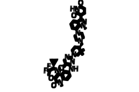 Cn1nc(C2CCC(=O)NC2=O)c2cccc(N3CCN(C[C@@H]4CCN(c5ncc(Cl)c(Nc6ccc7c(c6)c6c(c(=O)n7C)OCC(F)(F)[C@H](C7CC7)N6)n5)CC4(C)C)CC3)c21